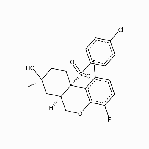 C[C@]1(O)CC[C@@]2(S(=O)(=O)c3ccc(Cl)cc3)c3c(F)ccc(F)c3OC[C@H]2C1